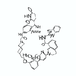 CNc1cc(NC(=O)CN2CC3(CC(CCOc4cccc(-c5ccc(N6CCc7cccc(C(=O)Nc8nc9ccccc9s8)c7C6)nc5C(=O)O)c4C)C3)C2)ccc1C(=N)C1CCC(=O)NC1=O